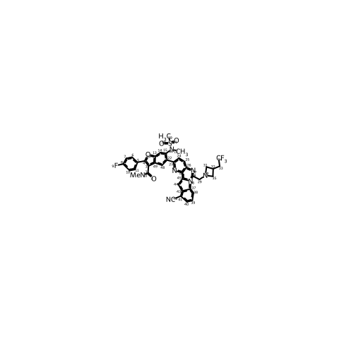 CNC(=O)c1c(-c2ccc(F)cc2)oc2cc(N(C)S(C)(=O)=O)c(-c3ccc4nc(CN5CC(CC(F)(F)F)C5)n5c6cccc(C#N)c6cc5c4n3)cc12